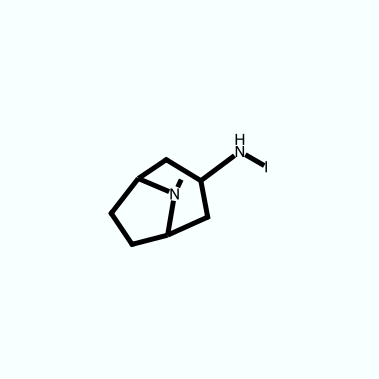 CN1C2CCC1CC(NI)C2